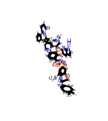 CC(C)c1ccccc1[C@H]1CCCN1C1CC2(CCN(c3ccc(C(=O)NS(=O)(=O)c4cc5c(c([N+](=O)[O-])c4)N[C@@H](C4CCC(C)(C)CC4)CO5)c(Oc4cc5cc[nH]c5nc4OCCN(C)C)c3)CC2)C1